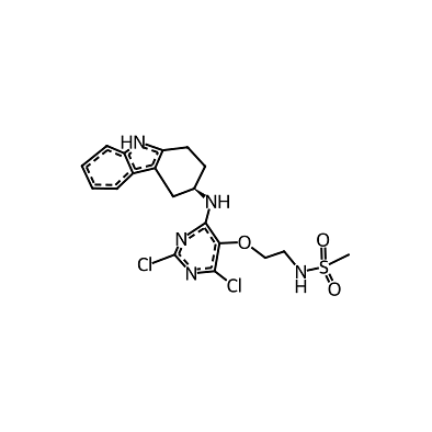 CS(=O)(=O)NCCOc1c(Cl)nc(Cl)nc1N[C@@H]1CCc2[nH]c3ccccc3c2C1